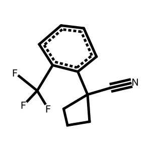 N#CC1(c2ccccc2C(F)(F)F)CCC1